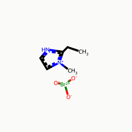 CCc1[nH]cc[n+]1C.[O-][Br+2]([O-])[O-]